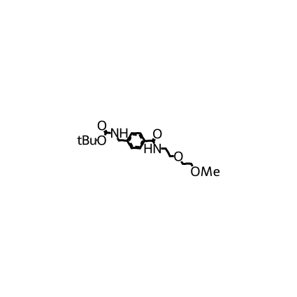 COCCOCCNC(=O)c1ccc(CNC(=O)OC(C)(C)C)cc1